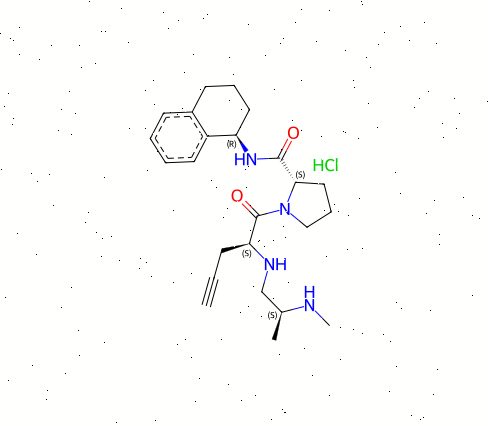 C#CC[C@H](NC[C@H](C)NC)C(=O)N1CCC[C@H]1C(=O)N[C@@H]1CCCc2ccccc21.Cl